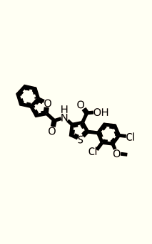 COc1c(Cl)ccc(-c2scc(NC(=O)c3cc4ccccc4o3)c2C(=O)O)c1Cl